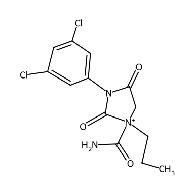 CCC[N+]1(C(N)=O)CC(=O)N(c2cc(Cl)cc(Cl)c2)C1=O